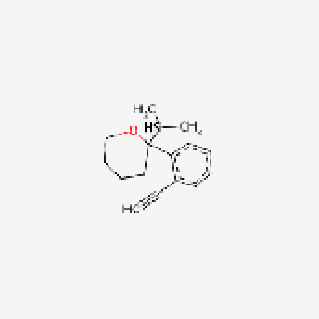 C#Cc1c[c]ccc1C1([SiH](C)C)CCCCO1